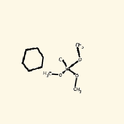 C1CCCCC1.CO[Si](Cl)(OC)OC